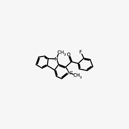 Cn1c2ccccc2c2cc[n+](C)c(C(=O)c3ccccc3F)c21